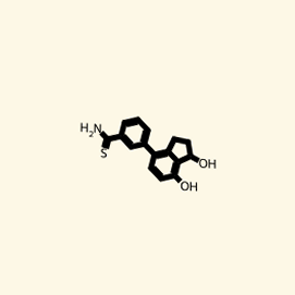 NC(=S)c1cccc(-c2ccc(O)c3c2CCC3O)c1